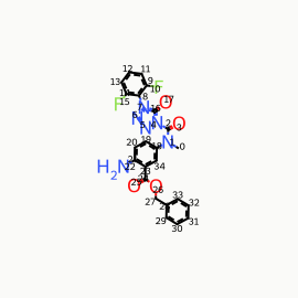 CN(C(=O)n1nnn(-c2c(F)cccc2F)c1=O)c1ccc(N)c(C(=O)OCc2ccccc2)c1